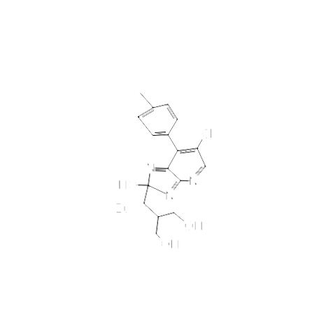 CC[C@@H](C(CO)CO)C1(O)N=c2ncc(Cl)c(-c3ccc(F)cc3)c2=N1